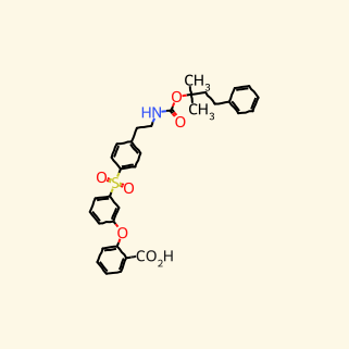 CC(C)(CCc1ccccc1)OC(=O)NCCc1ccc(S(=O)(=O)c2cccc(Oc3ccccc3C(=O)O)c2)cc1